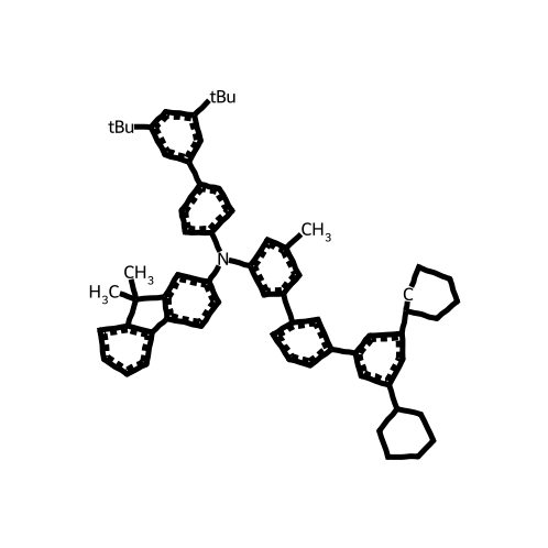 Cc1cc(-c2cccc(-c3cc(C4CCCCC4)cc(C4CCCCC4)c3)c2)cc(N(c2ccc(-c3cc(C(C)(C)C)cc(C(C)(C)C)c3)cc2)c2ccc3c(c2)C(C)(C)c2ccccc2-3)c1